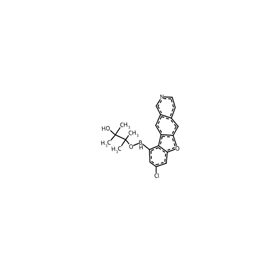 CC(C)(O)C(C)(C)OBc1cc(Cl)cc2oc3cc4ccncc4cc3c12